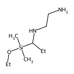 CCO[Si](C)(C)C(CC)NCCN